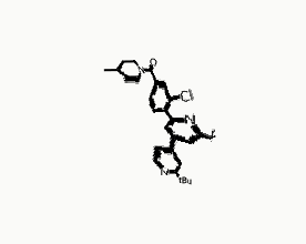 CC1CCN(C(=O)c2ccc(-c3cc(-c4ccnc(C(C)(C)C)c4)cc(F)n3)c(Cl)c2)CC1